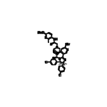 CCOc1cc(C(C)(C)C)ncc1C1=N[C@@](C)(c2ccc(Cl)cc2)[C@@](C)(c2ccc(Cl)cc2)N1C(=O)N1CCN(CC(=O)Nc2ccc(OC)nc2C)CC1